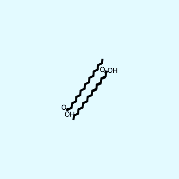 CCCCCCCCCC=CC=CC=CC(=O)O.CCCCCCCCCCCCCCCCC(=O)O